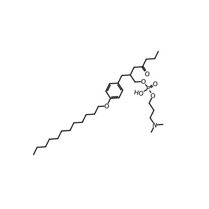 CCCCCCCCCCCCOc1ccc(CC(COP(=O)(O)OCCCN(C)C)CC(=O)CCC)cc1